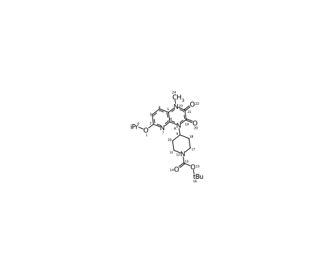 CC(C)Oc1ccc2c(n1)n(C1CCN(C(=O)OC(C)(C)C)CC1)c(=O)c(=O)n2C